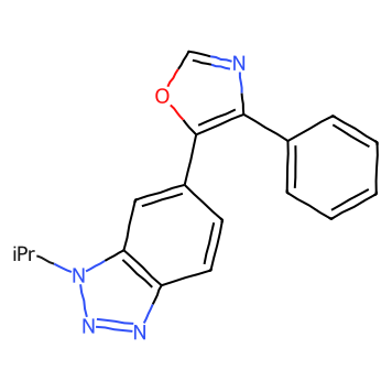 CC(C)n1nnc2ccc(-c3ocnc3-c3ccccc3)cc21